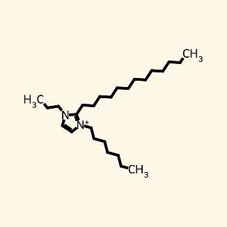 CCCCCCCCCCCCCc1n(CCC)cc[n+]1CCCCCCC